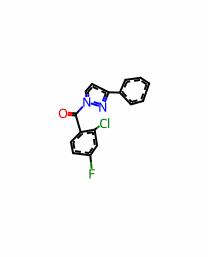 O=C(c1ccc(F)cc1Cl)n1ccc(-c2ccccc2)n1